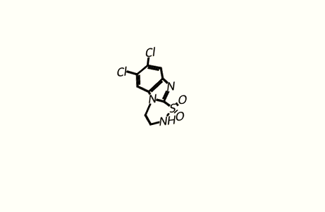 O=S1(=O)NCCn2c1nc1cc(Cl)c(Cl)cc12